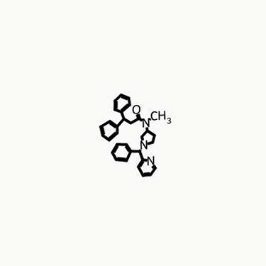 CN(C(=O)CC(c1ccccc1)c1ccccc1)C1CCN(C(c2ccccc2)c2ccccn2)C1